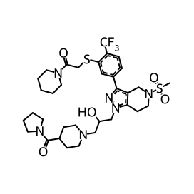 CS(=O)(=O)N1CCc2c(c(-c3ccc(C(F)(F)F)c(SCC(=O)N4CCCCC4)c3)nn2CC(O)CN2CCC(C(=O)N3CCCC3)CC2)C1